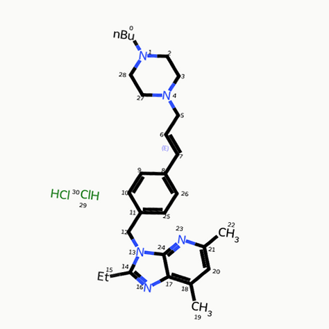 CCCCN1CCN(C/C=C/c2ccc(Cn3c(CC)nc4c(C)cc(C)nc43)cc2)CC1.Cl.Cl